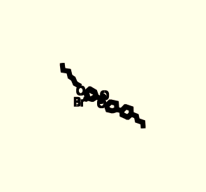 CCCCCCCOc1ccc(C(=O)OC2CCC(C3CCC(CCCC)CC3)CC2)cc1Br